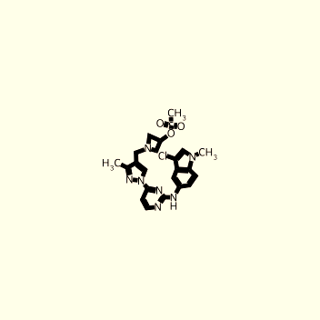 Cc1nn(-c2ccnc(Nc3ccc4c(c3)c(Cl)cn4C)n2)cc1CN1CC(OS(C)(=O)=O)C1